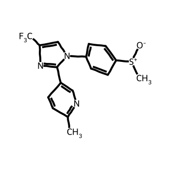 Cc1ccc(-c2nc(C(F)(F)F)cn2-c2ccc([S+](C)[O-])cc2)cn1